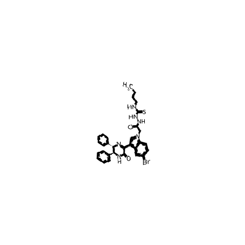 CCCCNC(=S)NNC(=O)Cn1cc(C2=N[C@@H](c3ccccc3)[C@H](c3ccccc3)NC2=O)c2cc(Br)ccc21